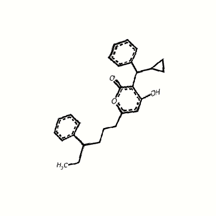 CCC(CCCc1cc(O)c(C(c2ccccc2)C2CC2)c(=O)o1)c1ccccc1